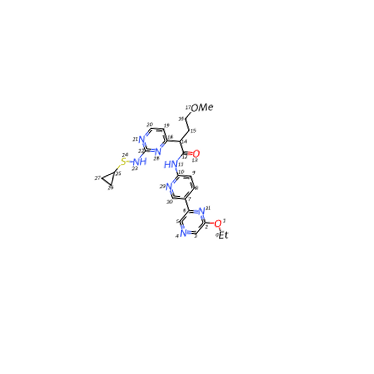 CCOc1cncc(-c2ccc(NC(=O)C(CCOC)c3ccnc(NSC4CC4)n3)nc2)n1